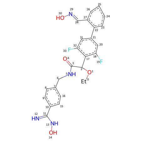 CCOC(C(=O)NCc1ccc(C(=N)NO)cc1)c1c(F)cc(-c2ccccc2C=NO)cc1F